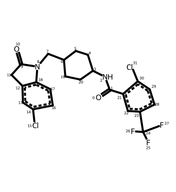 O=C(NC1CCC(CN2C(=O)Cc3cc(Cl)ccc32)CC1)c1cc(C(F)(F)F)ccc1Cl